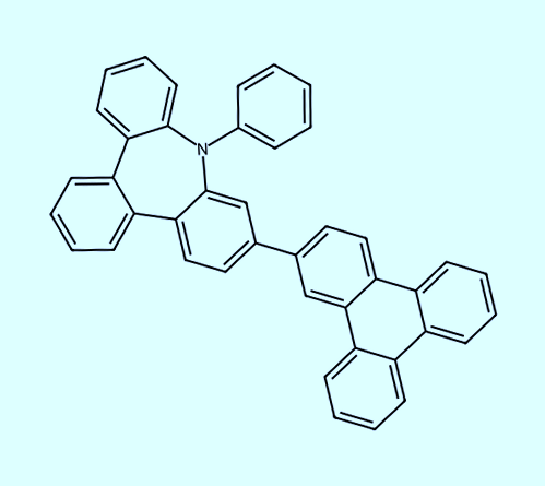 c1ccc(N2c3ccccc3-c3ccccc3-c3ccc(-c4ccc5c6ccccc6c6ccccc6c5c4)cc32)cc1